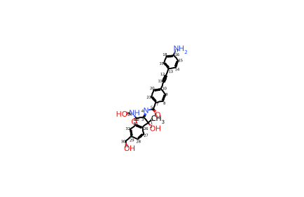 CC(O)(/C(=N\C(=O)c1ccc(C#Cc2ccc(N)cc2)cc1)C(=O)NO)c1ccc(CO)cc1